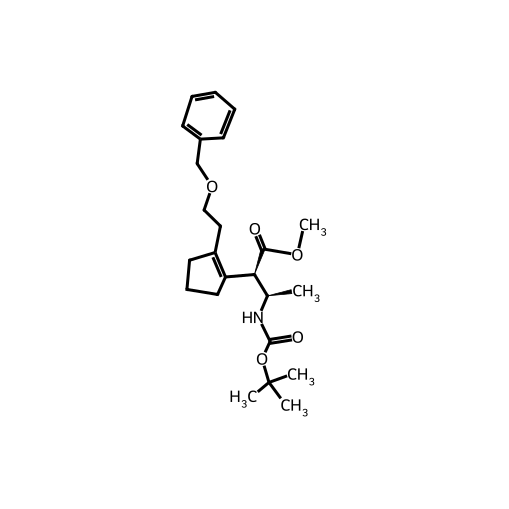 COC(=O)[C@H](C1=C(CCOCc2ccccc2)CCC1)[C@@H](C)NC(=O)OC(C)(C)C